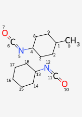 CC1CCC(N=C=O)CC1.O=C=NC1CCCCC1